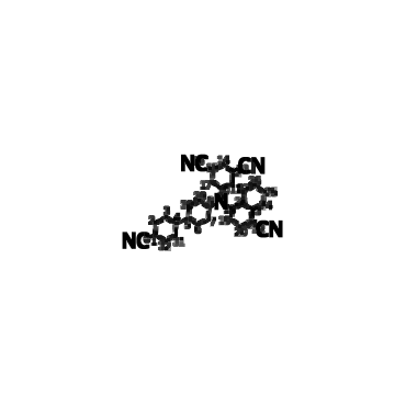 N#Cc1ccc(-c2ccc(N(c3cc(C#N)cc(C#N)c3)c3ccc(C#N)c4ccccc34)cc2)cc1